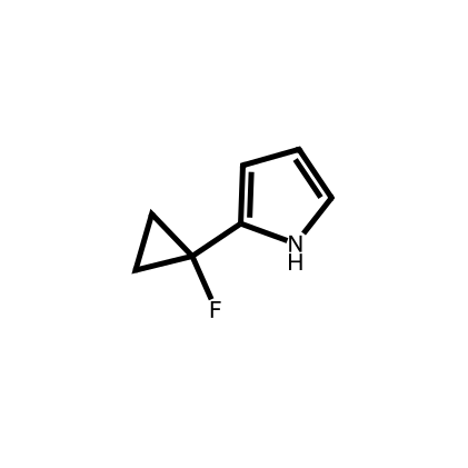 FC1(c2ccc[nH]2)CC1